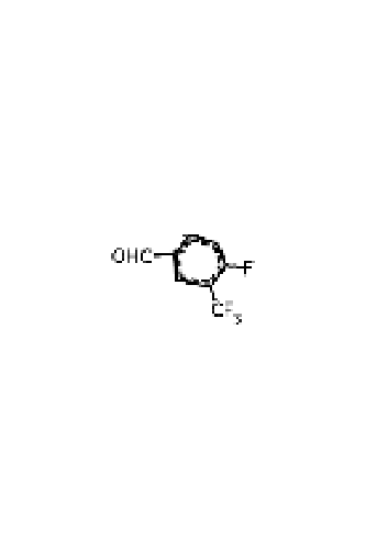 O=Cc1[c]cc(F)c(C(F)(F)F)c1